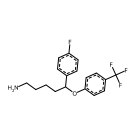 NCCCCC(Oc1ccc(C(F)(F)F)cc1)c1ccc(F)cc1